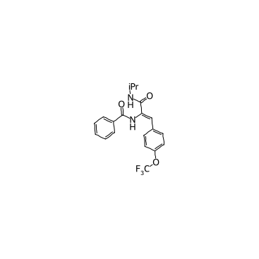 CC(C)NC(=O)/C(=C/c1ccc(OC(F)(F)F)cc1)NC(=O)c1ccccc1